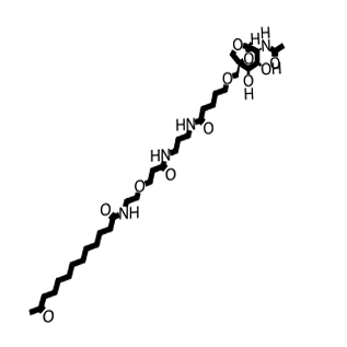 CC(=O)CCCCCCCCCCC(=O)NCCOCCC(=O)NCCCNC(=O)CCCCOC[C@@]12CO[C@@H](O1)[C@H](NC(C)=O)[C@@H](O)[C@H]2O